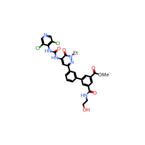 CCn1nc(-c2cccc(-c3cc(C(=O)NCCO)cc(C(=O)OC)c3)c2)cc(NC(=O)Nc2c(Cl)cncc2Cl)c1=O